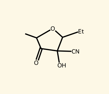 CCC1OC(C)C(=O)C1(O)C#N